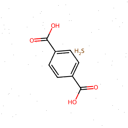 O=C(O)c1ccc(C(=O)O)cc1.S